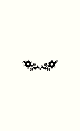 Cc1ccc(S(=O)(=O)CCSCCS(=O)(=O)c2ccc(C)cc2)cc1